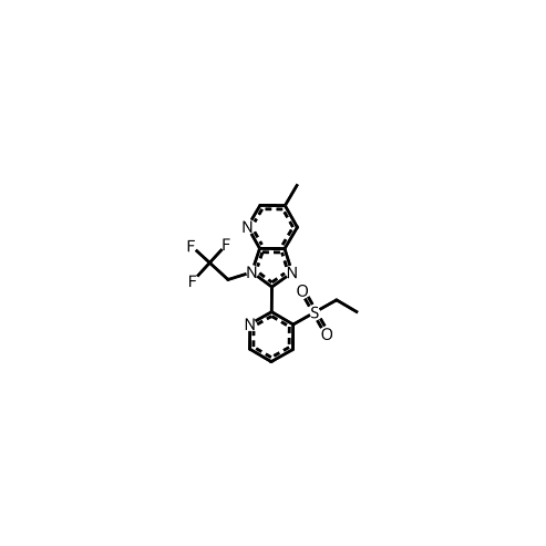 CCS(=O)(=O)c1cccnc1-c1nc2cc(C)cnc2n1CC(F)(F)F